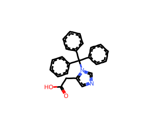 O=C(O)Cc1cncn1C(c1ccccc1)(c1ccccc1)c1ccccc1